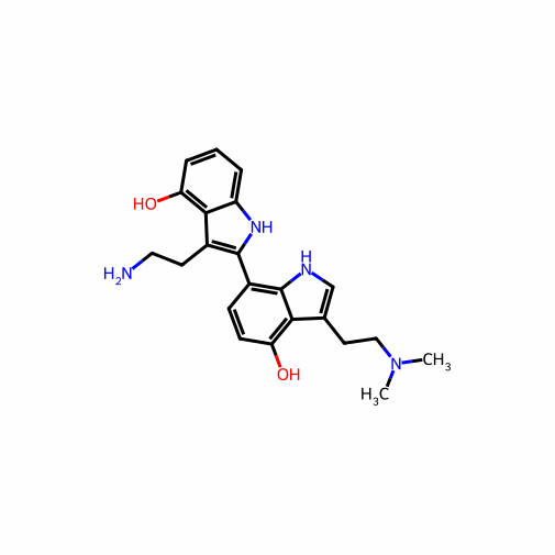 CN(C)CCc1c[nH]c2c(-c3[nH]c4cccc(O)c4c3CCN)ccc(O)c12